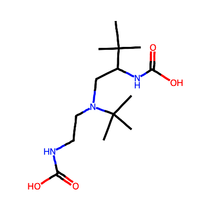 CC(C)(C)C(CN(CCNC(=O)O)C(C)(C)C)NC(=O)O